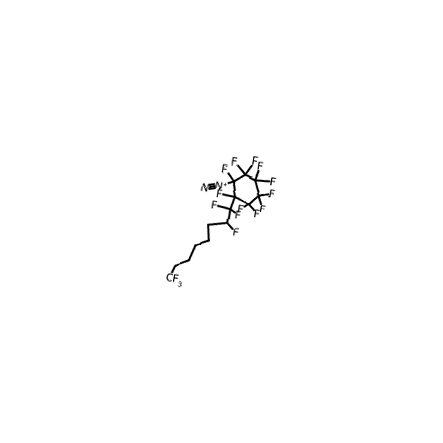 N#[N+]C1(F)C(F)(F)C(F)(F)C(F)(F)C(F)(F)C1(F)C(F)(F)C(F)CCCCCC(F)(F)F